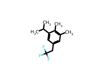 Cc1cc(CC(F)(F)F)cc(C(C)C)c1C